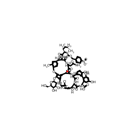 Cc1cc2ccc1Oc1cc3cc(c1O[C@@H]1O[C@H](CO)[C@@H](O)[C@H](O)[C@H]1O)Oc1ccc(cc1Cl)[C@@H](O)[C@@H]1NC(=O)[C@H](NC(=O)[C@@H]3NC(=O)[C@H](CC(N)=O)NC(=O)[C@H](NC(=O)[C@@H](CC(C)C)N(C)C(=O)OCc3ccc([N+](=O)[O-])cc3)[C@@H]2O)c2ccc(O)c(c2)-c2c(O)cc(O)cc2[C@@H](C(=O)O)NC1=O